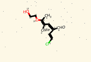 COC(/C=C(C=O)\C=C\Cl)=C(/C)OCCO